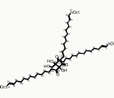 CCCCCCCCC=CCCCCCCCCCCCC(=O)C(O)(CO)C(O)(C(=O)CCCCCCCCCCCC=CCCCCCCCC)C(=O)CCCCCCCCCCCC=CCCCCCCCC